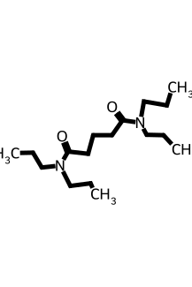 CCCN(CCC)C(=O)CCCC(=O)N(CCC)CCC